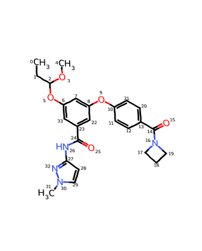 CCC(OC)Oc1cc(Oc2ccc(C(=O)N3CCC3)cc2)cc(C(=O)Nc2ccn(C)n2)c1